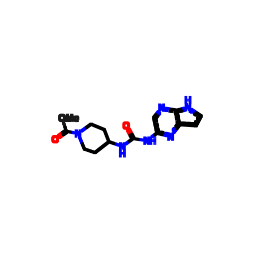 COC(=O)N1CCC(NC(=O)Nc2cnc3[nH]ccc3n2)CC1